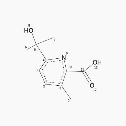 Cc1ccc(C(C)(C)O)nc1C(=O)O